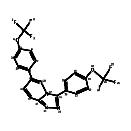 FC(F)(F)Oc1ccc(-c2ccc3nnc(-c4ccc(OC(F)(F)F)cc4)n3n2)cc1